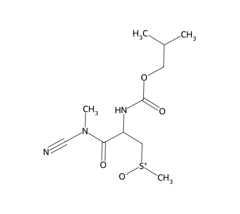 CC(C)COC(=O)NC(C[S+](C)[O-])C(=O)N(C)C#N